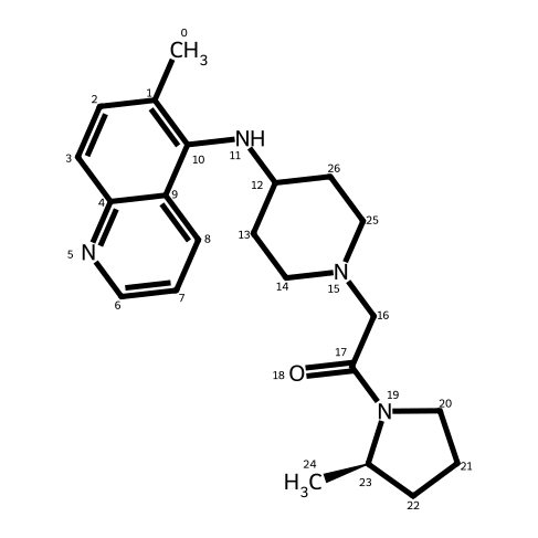 Cc1ccc2ncccc2c1NC1CCN(CC(=O)N2CCC[C@H]2C)CC1